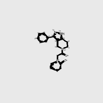 O=C(Cn1ccccc1=O)N1CCc2[nH]nc(-c3ccccc3)c2C1